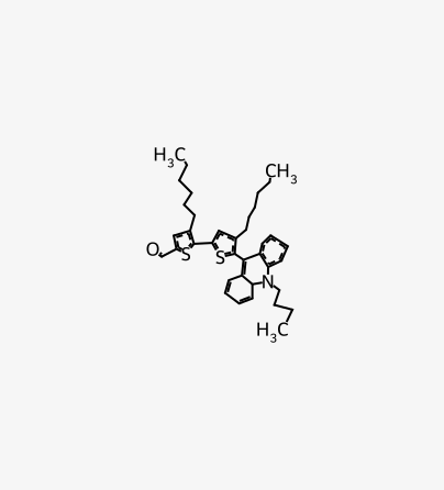 CCCCCCc1cc(-c2sc(C=O)cc2CCCCCC)sc1C1=C2C=CC=CC2N(CCCC)c2ccccc21